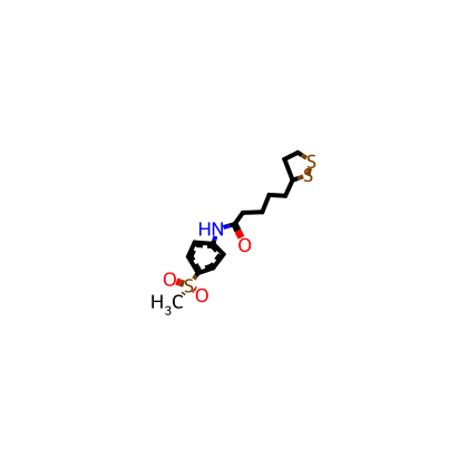 CS(=O)(=O)c1ccc(NC(=O)CCCCC2CCSS2)cc1